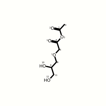 CC(=O)OC(=O)COCC(O)CO